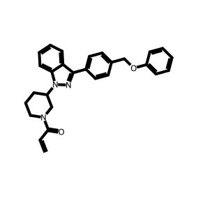 C=CC(=O)N1CCCC(n2nc(-c3ccc(COc4ccccc4)cc3)c3ccccc32)C1